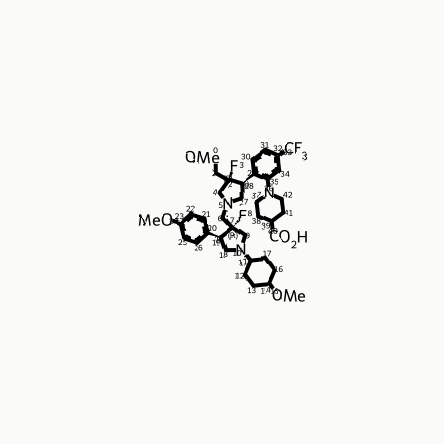 COC[C@@]1(F)CN([C][C@@]2(F)CN(C3CCC(OC)CC3)C[C@H]2c2ccc(OC)cc2)C[C@@H]1c1ccc(C(F)(F)F)cc1N1CCC(C(=O)O)CC1